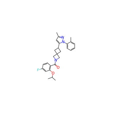 Cc1cc(C2CC3(C2)CN(C(=O)c2ccc(F)cc2OC(C)C)C3)n(-c2ccccc2C)n1